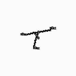 CCCCCCCC/C=C\CCCCCCCCOC(COCCCCCCCCCCCCCCCC)COC(=O)CCCCCCCCCCCCCCCCC